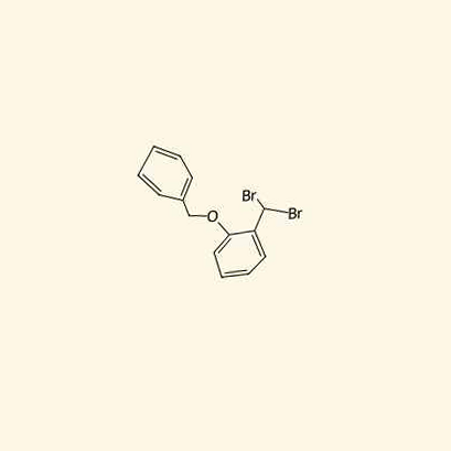 BrC(Br)c1ccccc1OCc1ccccc1